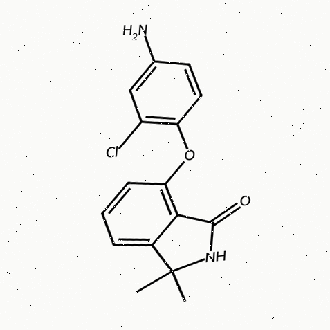 CC1(C)NC(=O)c2c(Oc3ccc(N)cc3Cl)cccc21